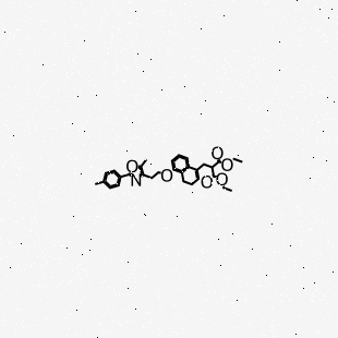 CCOC(=O)C(CC1=CCCc2c(OCCc3nc(-c4ccc(C)cc4)oc3C)cccc21)C(=O)OCC